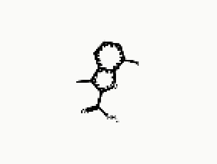 Cc1c(C(N)=O)oc2c(F)cccc12